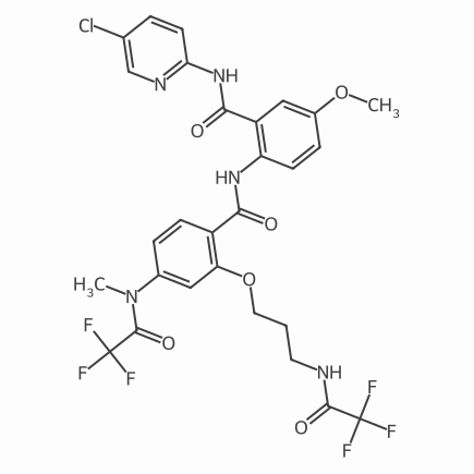 COc1ccc(NC(=O)c2ccc(N(C)C(=O)C(F)(F)F)cc2OCCCNC(=O)C(F)(F)F)c(C(=O)Nc2ccc(Cl)cn2)c1